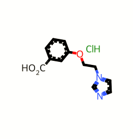 Cl.O=C(O)c1cccc(OCCn2ccnc2)c1